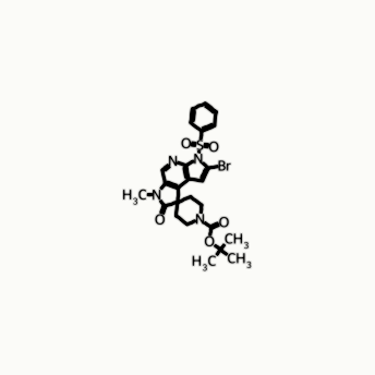 CN1C(=O)C2(CCN(C(=O)OC(C)(C)C)CC2)c2c1cnc1c2cc(Br)n1S(=O)(=O)c1ccccc1